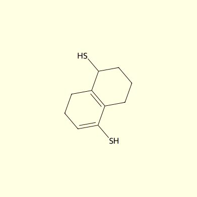 SC1=CCCC2=C1CCCC2S